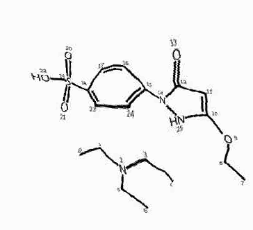 CCN(CC)CC.CCOc1cc(=O)n(-c2ccc(S(=O)(=O)O)cc2)[nH]1